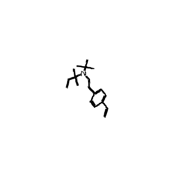 C=Cc1ccc(CCN(C(C)(C)C)C(C)(C)CC)cc1